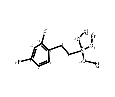 CCO[Si](CCc1ccc(F)cc1F)(OCC)OCC